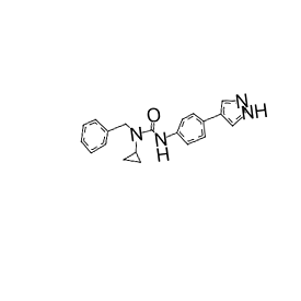 O=C(Nc1ccc(-c2cn[nH]c2)cc1)N(Cc1ccccc1)C1CC1